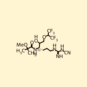 COC(C)(C)C(=O)N[C@@H](CCCNC(=N)NC#N)C(O)COC(C(F)(F)F)C(F)(F)F